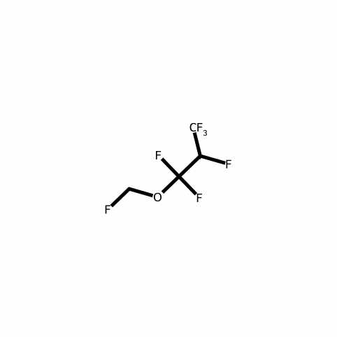 FCOC(F)(F)[C](F)C(F)(F)F